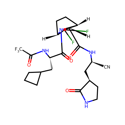 N#C[C@@H](C[C@H]1CCNC1=O)NC(=O)[C@H]1[C@H]2CC[C@H](CC2(F)F)N1C(=O)[C@H](CC1CCC1)NC(=O)C(F)(F)F